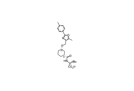 CCC(C)[C@H](NC(=O)[C@@H]1CCC[C@H](OCc2nc(-c3ccc(C)cc3)oc2C)C1)C(=O)O